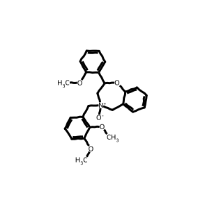 COc1ccccc1C1C[N+]([O-])(Cc2cccc(OC)c2OC)Cc2ccccc2O1